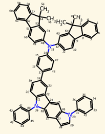 CC1(C)c2ccccc2-c2ccc(N(c3ccc(-c4ccc5c(c4)c4cc6c(ccn6-c6ccccc6)cc4n5-c4ccccc4)cc3)c3ccc4c(c3)C(C)(C)c3ccccc3-4)cc21